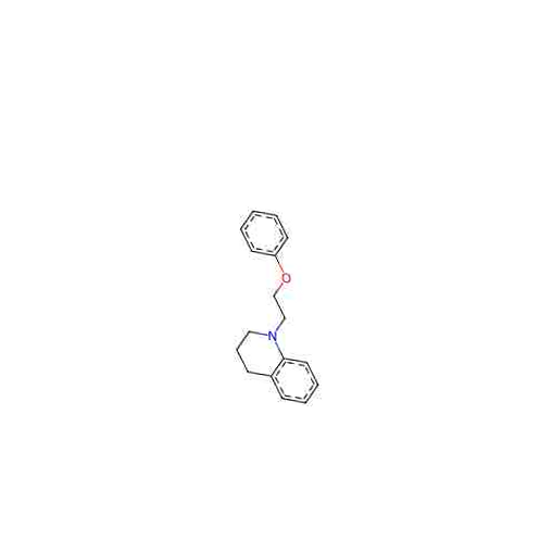 c1ccc(OCCN2CCCc3ccccc32)cc1